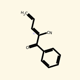 C=C/C=C(\C#N)C(=O)c1ccccc1